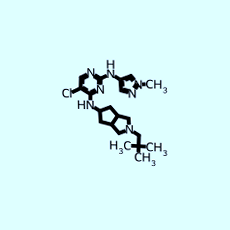 Cn1cc(Nc2ncc(Cl)c(NC3CC4CN(CC(C)(C)C)CC4C3)n2)cn1